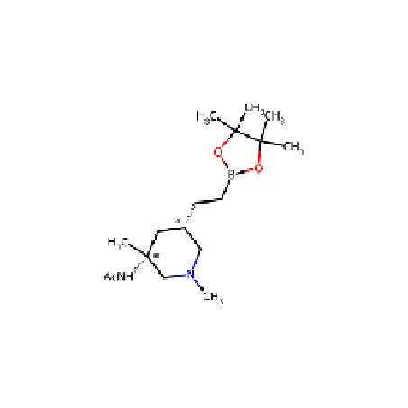 CC(=O)N[C@]1(C)C[C@H](CCB2OC(C)(C)C(C)(C)O2)CN(C)C1